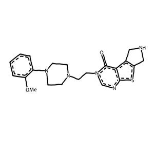 COc1ccccc1N1CCN(CCn2cnc3sc4c(c3c2=O)CNC4)CC1